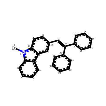 CCn1c2ccccc2c2cc(C=C(c3ccccc3)c3ccccc3)ccc21